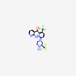 Nc1ncccc1C(=O)c1nc(N2CCNC(C(F)(F)F)C2)ccc1C(F)(F)F